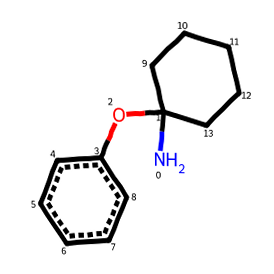 NC1(Oc2ccccc2)CCCCC1